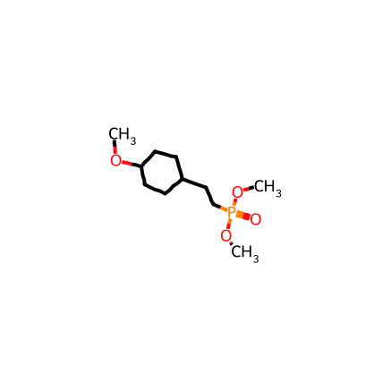 COC1CCC(CCP(=O)(OC)OC)CC1